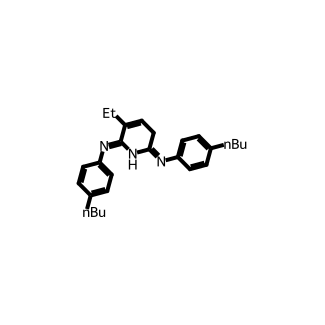 CCCCc1ccc(N=C2CC=C(CC)C(=Nc3ccc(CCCC)cc3)N2)cc1